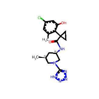 Cc1cc(Cl)cc(O)c1C1(C(=O)N[C@@H]2C[C@H](C)CN(c3nnn[nH]3)C2)CC1